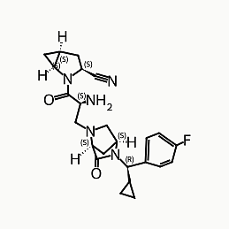 N#C[C@@H]1C[C@@H]2C[C@@H]2N1C(=O)[C@@H](N)CN1C[C@@H]2C[C@H]1C(=O)N2[C@@H](c1ccc(F)cc1)C1CC1